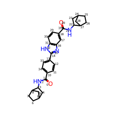 O=C(NC1CC2CCC1C2)c1ccc(-c2nc3cc(C(=O)NC4CC5CCC4C5)ccc3[nH]2)cc1